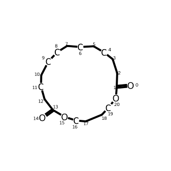 O=C1CCCCCCCCCCCC(=O)OCCCCO1